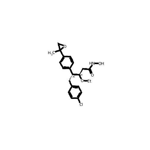 CCO[C@H](CC(=O)NO)[C@H](Cc1ccc(Cl)cc1)c1ccc(C2(C)CO2)cc1